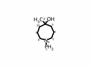 CC1(O)CCCN(P)CCC1